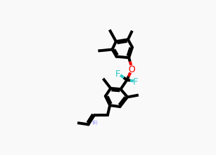 C/C=C/Cc1cc(C)c(C(F)(F)Oc2cc(C)c(C)c(C)c2)c(C)c1